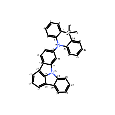 C[Si]1(C)c2ccccc2N(c2ccc3c4cccc5c6ccccc6n(c3c2)c54)c2ccccc21